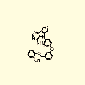 N#Cc1ccccc1OCc1cccc(Oc2ccc(-n3c4c(c5ncnc(N)c53)COC4)cc2)c1